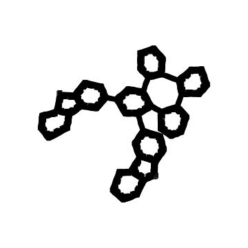 c1ccc2c(c1)-c1ccccc1-c1cc(-c3ccc4sc5ccccc5c4c3)cc(-c3ccc4oc5ccccc5c4c3)c1-c1ccccc1-2